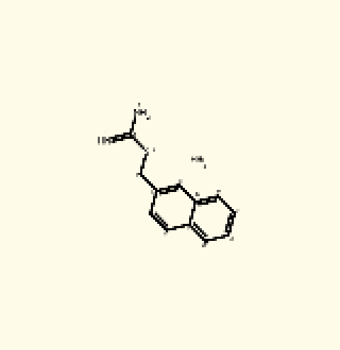 Br.N=C(N)SCc1ccc2ccccc2c1